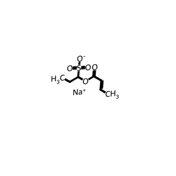 CC=CC(=O)OC(CC)S(=O)(=O)[O-].[Na+]